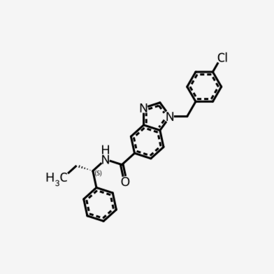 CC[C@H](NC(=O)c1ccc2c(c1)ncn2Cc1ccc(Cl)cc1)c1ccccc1